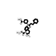 COC(=O)N1c2ccc3c(nc(CCc4ccccc4)n3[C@H]3CCC[C@H](C(=O)O)C3)c2CCC1C